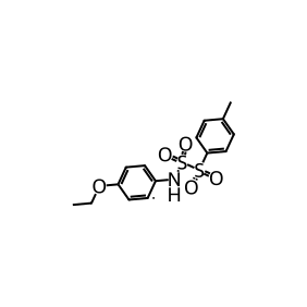 CCOc1c[c]c(NS(=O)(=O)S(=O)(=O)c2ccc(C)cc2)cc1